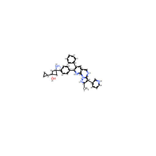 Cc1nn2c(ncc3cc(-c4ccccc4)c(-c4ccc([C@]5(N)C[C@@](O)(C6CC6)C5)cc4)nc32)c1-c1cccnc1